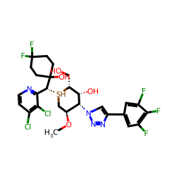 CO[C@H]1C[SH]([C@H](c2nccc(Cl)c2Cl)C2(O)CCC(F)(F)CC2)[C@H](CO)[C@H](O)[C@@H]1n1cc(-c2cc(F)c(F)c(F)c2)nn1